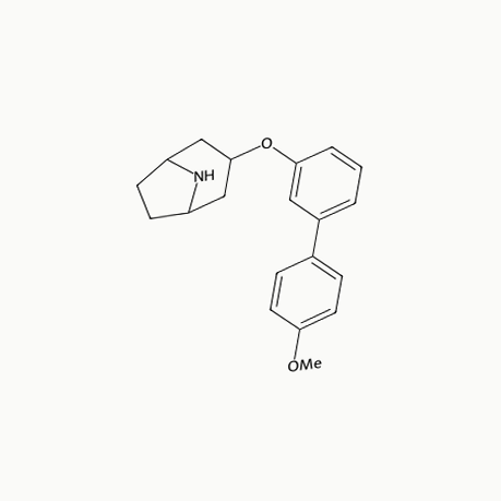 COc1ccc(-c2cccc(OC3CC4CCC(C3)N4)c2)cc1